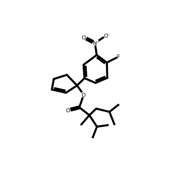 CC(C)CC(C)(C(=O)OC1(c2ccc(F)c([N+](=O)[O-])c2)C=CCC1)C(C)C